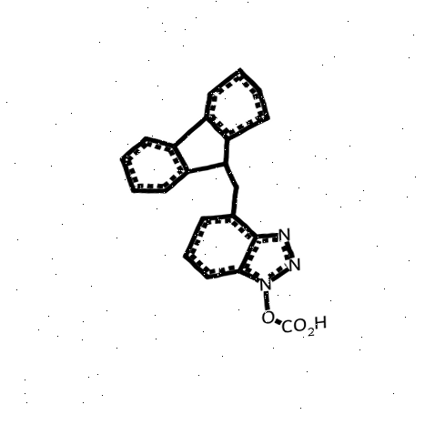 O=C(O)On1nnc2c(CC3c4ccccc4-c4ccccc43)cccc21